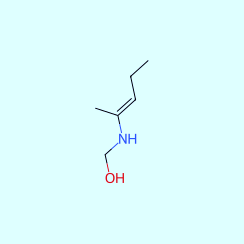 CC/C=C(\C)NCO